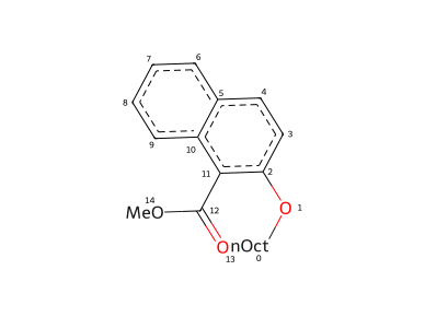 CCCCCCCCOc1ccc2ccccc2c1C(=O)OC